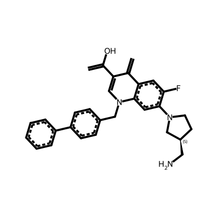 C=C(O)C1=CN(Cc2ccc(-c3ccccc3)cc2)c2cc(N3CC[C@@H](CN)C3)c(F)cc2C1=C